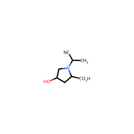 CC(C#N)N1CC(O)CC1C(=O)O